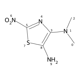 CN(C)c1nc([N+](=O)[O-])sc1N